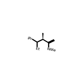 C=C(NC)[C@H](C)C(CC)C(C)C